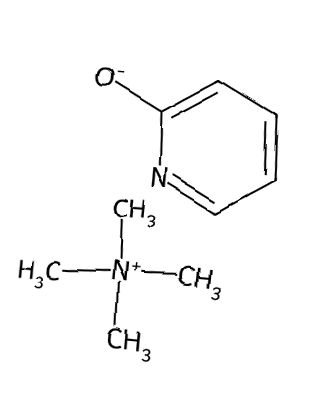 C[N+](C)(C)C.[O-]c1ccccn1